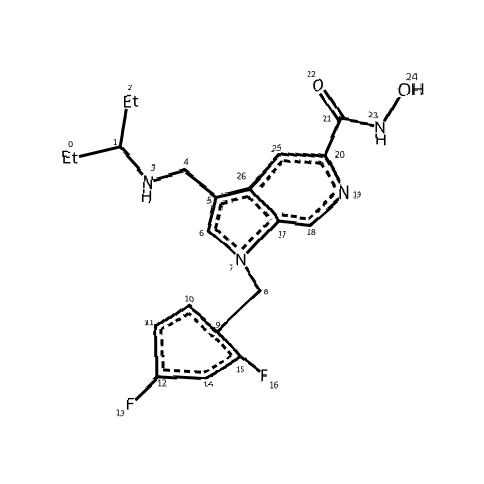 CCC(CC)NCc1cn(Cc2ccc(F)cc2F)c2cnc(C(=O)NO)cc12